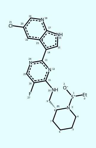 CC[S+]([O-])N1CCCC[C@@H]1CNc1nc(-c2c[nH]c3ncc(Cl)cc23)ncc1F